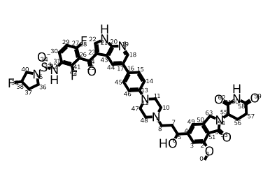 COc1cc(C(O)CCN2CCN(c3ccc(-c4cnc5[nH]cc(C(=O)c6c(F)ccc(N[S+]([O-])N7CCC(F)C7)c6F)c5c4)cc3)CC2)cc2c1C(=O)N(C1CCC(=O)NC1=O)C2